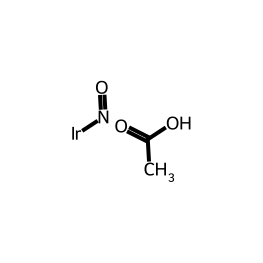 CC(=O)O.O=[N][Ir]